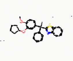 COc1ccc(C(C)(c2ccccc2)c2nc3ccccc3s2)cc1OC1CCCC1